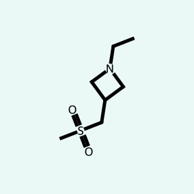 CCN1CC(CS(C)(=O)=O)C1